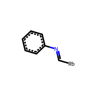 [Rb]/[CH]=N/c1ccccc1